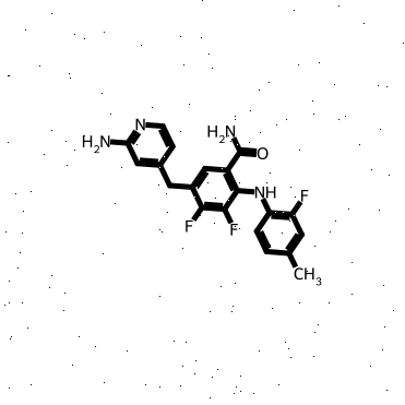 Cc1ccc(Nc2c(C(N)=O)cc(Cc3ccnc(N)c3)c(F)c2F)c(F)c1